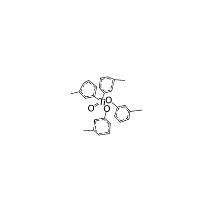 Cc1cccc([O][Ti](=[O])([O]c2cccc(C)c2)([c]2cccc(C)c2)[c]2cccc(C)c2)c1